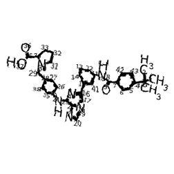 CC(C)(C)c1ccc(C(=O)Nc2cccc(-c3cn4ccnc4c(Nc4ccc(CN5CCCC5C(=O)O)cc4)n3)c2)cc1